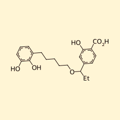 CCC(OCCCCCc1cccc(O)c1O)c1ccc(C(=O)O)c(O)c1